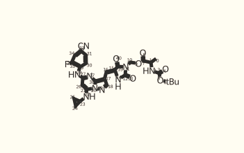 CC(NC(=O)OC(C)(C)C)C(=O)OCN1C(=O)N/C(=C\c2cnn3c(NC4CC4)cc(Nc4ccc(C#N)cc4F)nc23)C1=O